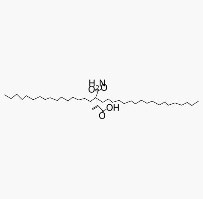 C=CC(=O)O.CCCCCCCCCCCCCCCCCCC(CCCCCCCCCCCCCCCC)C(=O)ON